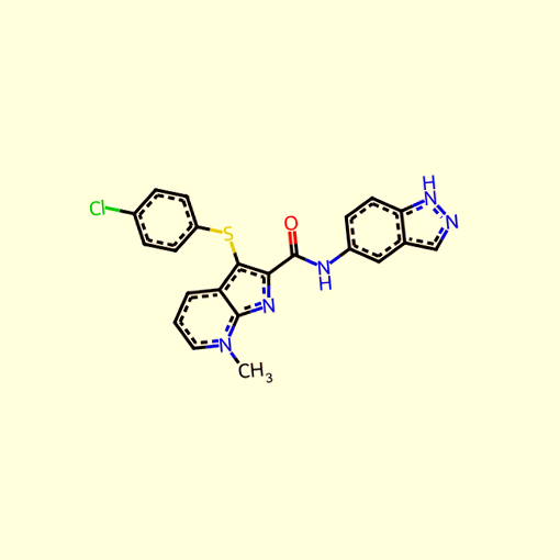 Cn1cccc2c(Sc3ccc(Cl)cc3)c(C(=O)Nc3ccc4[nH]ncc4c3)nc1-2